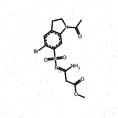 COC(=O)C/C(N)=N/S(=O)(=O)c1cc2c(cc1Br)CCN2C(C)=O